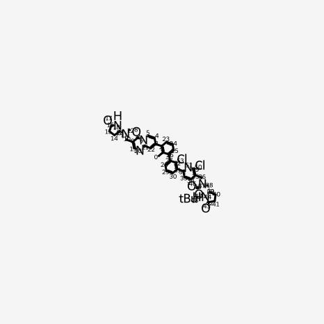 Cc1c(-c2ccn3c(=O)c(CN(C)[C@H]4CCC(=O)N4)cnc3c2)cccc1-c1cccc(-c2ccc(CN(C[C@@H]3CCC(=O)N3)C(=O)OC(C)(C)C)c(Cl)n2)c1Cl